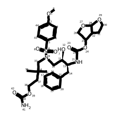 COc1ccc(S(=O)(=O)N(C[C@@H](O)[C@H](Cc2ccccc2)NC(=O)OC2COC3OCCC23)CC(C)(C)CCOC(N)=O)cc1